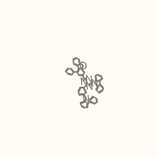 c1ccc(-c2cc(-c3nc(-c4cccc(-n5c6ccccc6c6ccccc65)c4)nc(-n4c5ccccc5c5ccccc54)n3)cc3oc4ccccc4c23)cc1